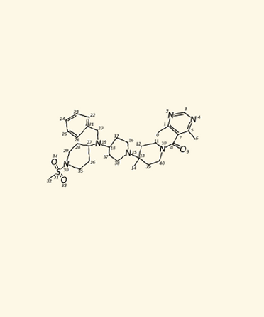 Cc1ncnc(C)c1C(=O)N1CCC(C)(N2CCC(N(Cc3ccccc3)C3CCN(S(C)(=O)=O)CC3)CC2)CC1